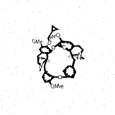 COc1ccc2cc1Oc1ccc(cc1)C[C@H]1c3cc(c(OC)cc3CCN1C)Oc1c(OCC3CC3)c(OC)cc3c1[C@H](C2)N(C)CC3